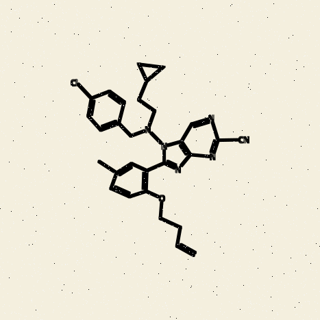 C=CCCOc1ccc(C)cc1-c1nc2nc(C#N)ncc2n1N(CCC1CC1)Cc1ccc(Cl)cc1